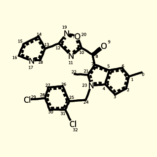 Cc1ccc2c(c1)c(C(=O)c1nc(-c3cccnc3)no1)c(C)n2Cc1ccc(Cl)cc1Cl